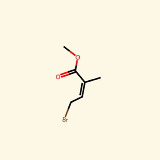 COC(=O)/C(C)=C\CBr